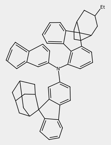 CCC1CC2CCCC(C1)C21c2ccccc2-c2c(N(c3ccc4c(c3)C3(c5ccccc5-4)C4CC5CC(C4)CC3C5)c3ccc4ccccc4c3)cccc21